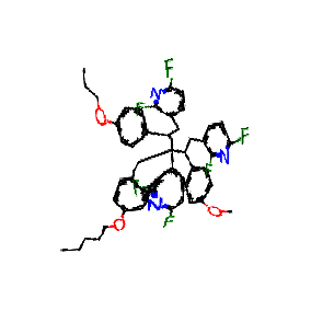 CCCCCOc1ccc(CC(c2ccc(F)nc2F)(C(Cc2ccc(F)nc2F)c2ccc(OC)cc2)C(Cc2ccc(F)nc2F)c2ccc(OCCC)cc2)cc1